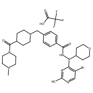 CN1CCN(C(=O)C2CCN(Cc3ccc(C(=O)NN(c4nc(C#N)ncc4Br)C4CCOCC4)cc3)CC2)CC1.O=C(O)C(F)(F)F